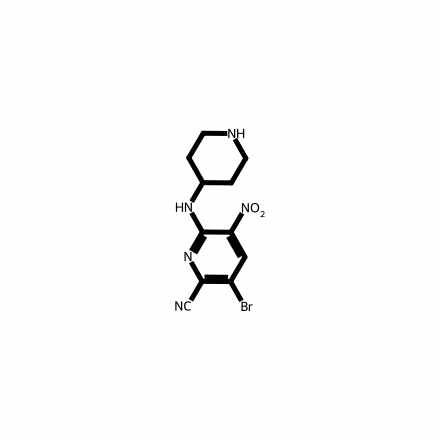 N#Cc1nc(NC2CCNCC2)c([N+](=O)[O-])cc1Br